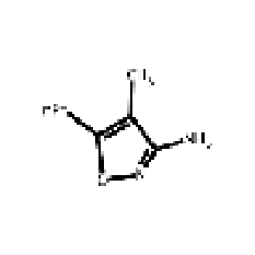 CCCc1onc(N)c1C